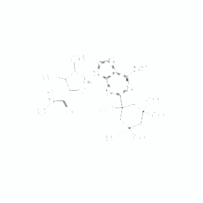 CCNC(=O)[C@H]1O[C@@H](n2cnc3c(N)nc(C4(O)CC(C)(C)CC(C)(C)C4)nc32)C(O)C1O